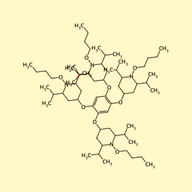 CCCCON1C(C(C)C)CC(Oc2cc(OC3CC(C(C)C)N(OCCCC)C(C(C)C)C3)c(OC3CC(C(C)C)N(OCCCC)C(C(C)C)C3)cc2OC2CC(C(C)C)N(OCCCC)C(C(C)C)C2)CC1C(C)C